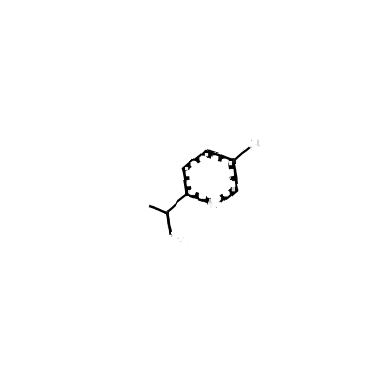 CCOC(=O)C(OC)c1ccc(N)cn1